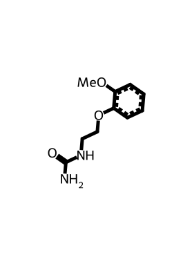 COc1ccccc1OCCNC(N)=O